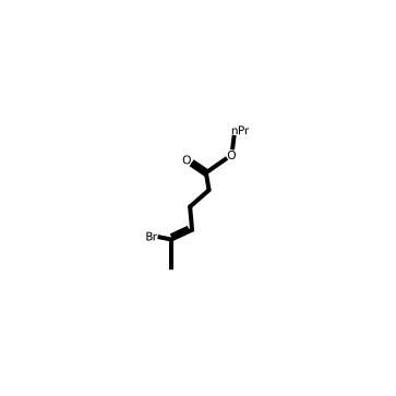 CCCOC(=O)CCC=C(C)Br